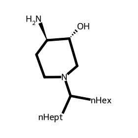 CCCCCCCC(CCCCCC)N1CC[C@@H](N)[C@H](O)C1